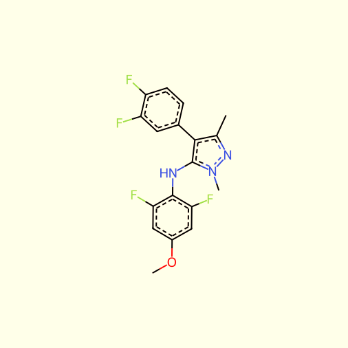 COc1cc(F)c(Nc2c(-c3ccc(F)c(F)c3)c(C)nn2C)c(F)c1